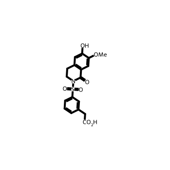 COc1cc2c(cc1O)CCN(S(=O)(=O)c1cccc(CC(=O)O)c1)C2=O